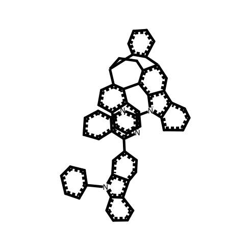 c1ccc(-n2c3ccccc3c3ccc(-c4nc(-n5c6ccccc6c6cc7c8c(c65)-c5c(ccc6ccccc56)C(CC8)c5ccccc5-7)nc5ccccc45)cc32)cc1